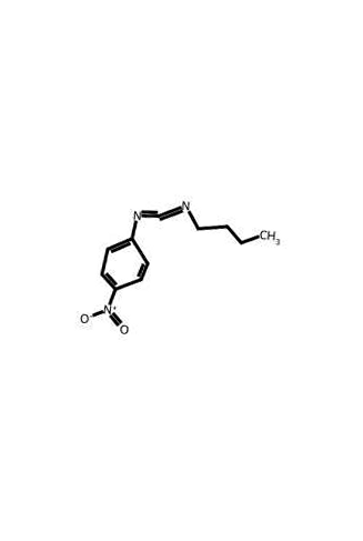 CCCCN=C=Nc1ccc([N+](=O)[O-])cc1